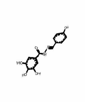 O=C(NN=Cc1ccc(O)cc1)c1cc(O)c(O)c(O)c1